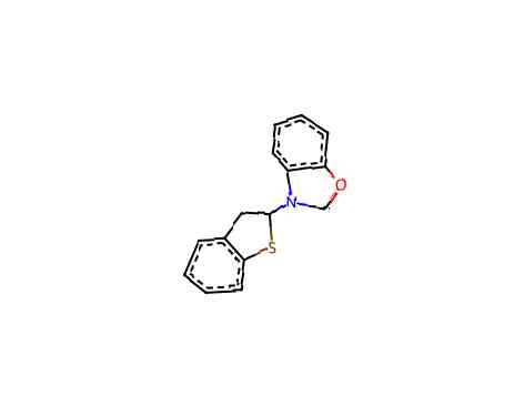 [C]1Oc2ccccc2N1C1Cc2ccccc2S1